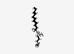 CCCCCCCCCCC(=O)NCCCN=O